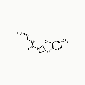 C=CCNC(=O)N1CC(Oc2ccc(C(F)(F)F)cc2Cl)C1